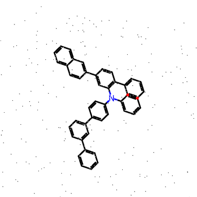 c1ccc(-c2cccc(-c3ccc(N(c4ccccc4)c4cc(-c5ccc6ccccc6c5)ccc4-c4ccccc4)cc3)c2)cc1